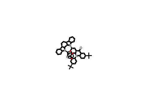 CC(C)(C)c1ccc2c(c1)c(=O)c1cc(-n3c4ccccc4c4ccc5c6ccccc6n(C67CC8CC(CC6C8)C7)c5c43)cc3c(=O)c4cc(C(C)(C)C)ccc4n2c13